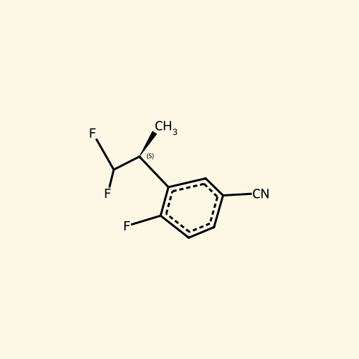 C[C@@H](c1cc(C#N)ccc1F)C(F)F